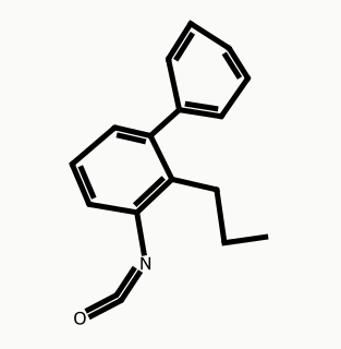 CCCc1c(N=C=O)cccc1-c1ccccc1